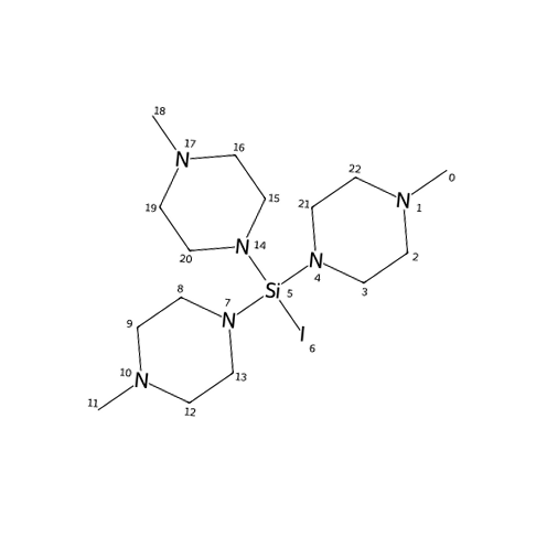 CN1CCN([Si](I)(N2CCN(C)CC2)N2CCN(C)CC2)CC1